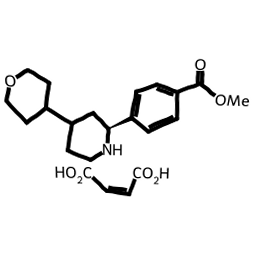 COC(=O)c1ccc([C@@H]2CC(C3CCOCC3)CCN2)cc1.O=C(O)/C=C\C(=O)O